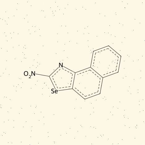 O=[N+]([O-])c1nc2c(ccc3ccccc32)[se]1